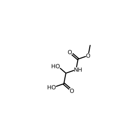 COC(=O)NC(O)C(=O)O